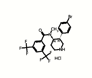 CN(C(=O)c1cc(C(F)(F)F)cc(C(F)(F)F)c1)[C@@H]1CCNC[C@H]1c1ccc(Br)cc1.Cl